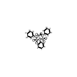 O=P(=O)S(c1ccccc1)(S(=O)(=O)Oc1ccccc1)S(=O)(=O)Oc1ccccc1